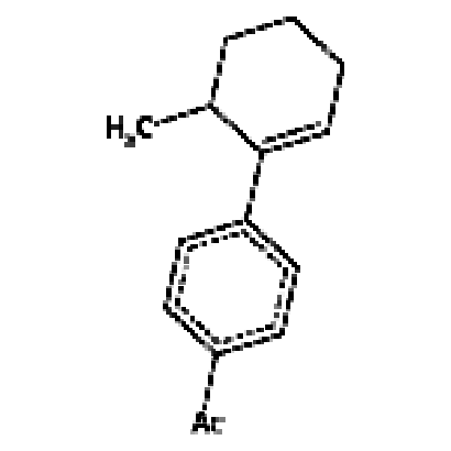 CC(=O)c1ccc(C2=CCCCC2C)cc1